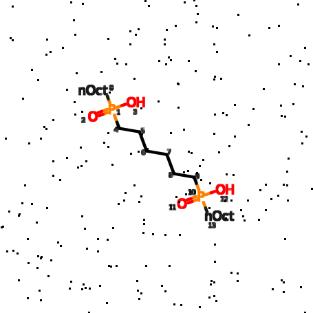 CCCCCCCCP(=O)(O)CCCCCCP(=O)(O)CCCCCCCC